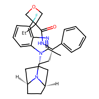 CCC1(C(=O)N[C@@H](CCN2[C@@H]3CC[C@H]2C[C@H](n2c(C)nc4c(F)cccc42)C3)c2ccccc2)COC1